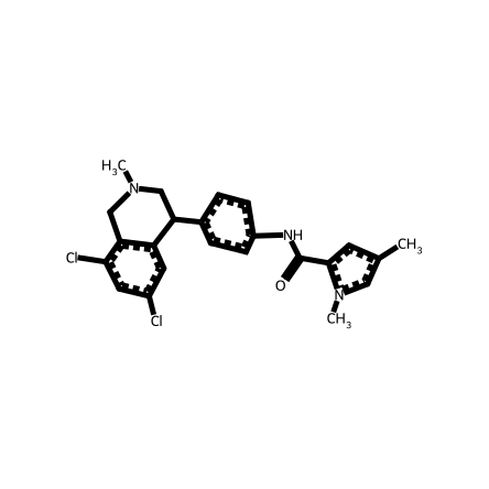 Cc1cc(C(=O)Nc2ccc(C3CN(C)Cc4c(Cl)cc(Cl)cc43)cc2)n(C)c1